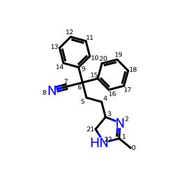 CC1=NC(CCC(C#N)(c2ccccc2)c2ccccc2)CN1